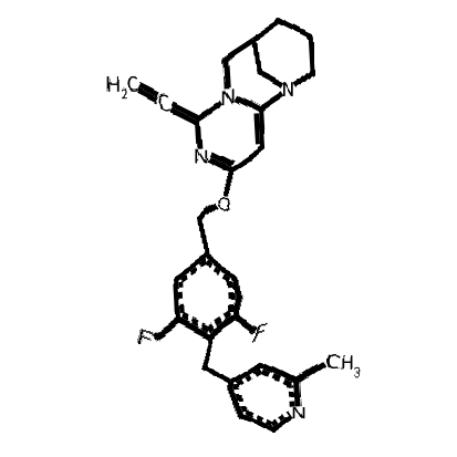 C=C=C1N=C(OCc2cc(F)c(Cc3ccnc(C)c3)c(F)c2)C=C2N3CCCC(C3)CN12